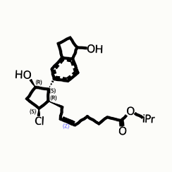 CC(C)OC(=O)CCC/C=C\C[C@@H]1[C@@H](c2ccc3c(c2)CCC3O)[C@H](O)C[C@@H]1Cl